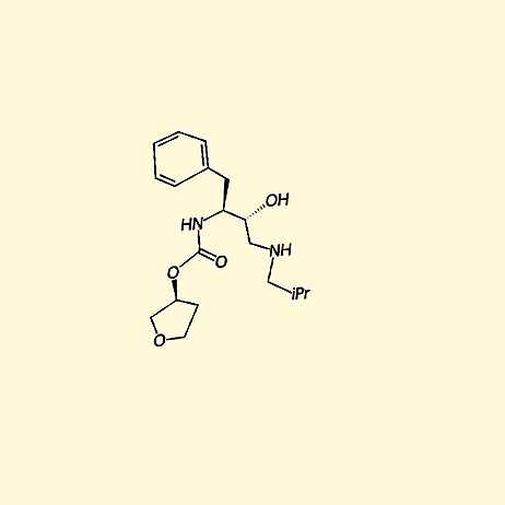 CC(C)CNC[C@@H](O)[C@H](Cc1ccccc1)NC(=O)O[C@H]1CCOC1